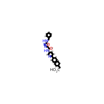 O=C(O)CC1CCC2(CC1)CCC(c1ccc(NC(=O)c3nnc(NCc4ccccc4)o3)cn1)CC2